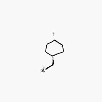 CCCCC[C@H]1CC[C@H](C)CC1